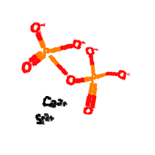 O=P([O-])([O-])OP(=O)([O-])[O-].[Ca+2].[Sr+2]